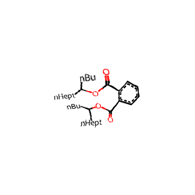 CCCCCCCC(CCCC)OC(=O)c1ccccc1C(=O)OC(CCCC)CCCCCCC